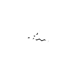 CCO[SiH](CCCCNC)OCC